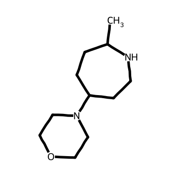 CC1CCC(N2CCOCC2)CCN1